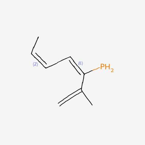 C=C(C)/C(P)=C\C=C/C